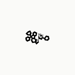 c1ccc(-c2cc(-n3ccc4ccc5c(c43)-c3ccccc3C5(c3ccccc3)c3ccccc3)cnn2)cc1